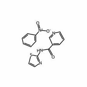 O=C(Nc1nccs1)c1cccnc1.O=[N+]([O-])c1ccccc1